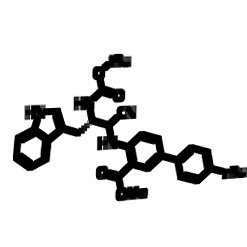 CCCCc1ccc(-c2ccc(NC(C#N)[C@H](Cc3c[nH]c4ccccc34)NC(=O)OC(C)(C)C)c(C(=O)OC)c2)cc1